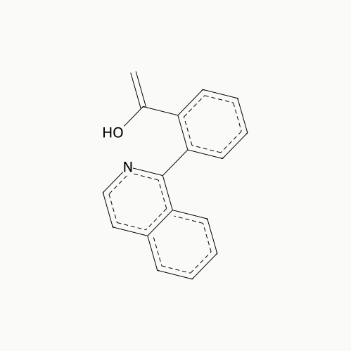 C=C(O)c1ccccc1-c1nccc2ccccc12